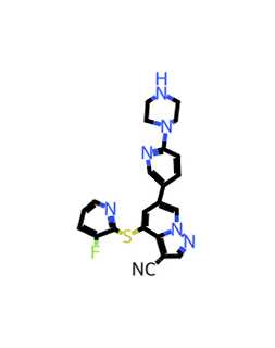 N#Cc1cnn2cc(-c3ccc(N4CCNCC4)nc3)cc(Sc3ncccc3F)c12